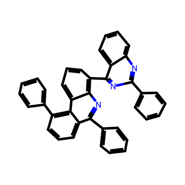 c1ccc(-c2nc(-c3cccc4c3nc(-c3ccccc3)c3cccc(-c5ccccc5)c34)c3ccccc3n2)cc1